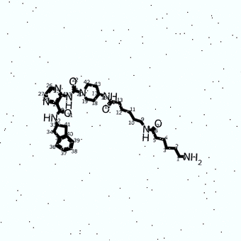 NCCCCCC(=O)NCCCCCC(=O)NC1CCN(C(=O)Nc2nccnc2C(=O)NC2Cc3ccccc3C2)CC1